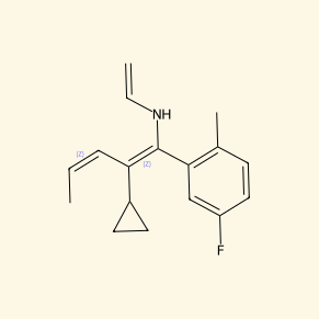 C=CN/C(=C(\C=C/C)C1CC1)c1cc(F)ccc1C